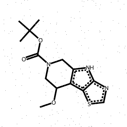 COC1CN(C(=O)OC(C)(C)C)Cc2[nH]c3ncsc3c21